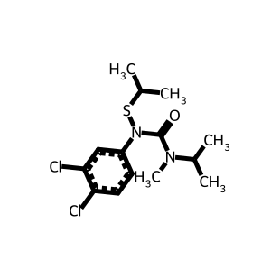 CC(C)SN(C(=O)N(C)C(C)C)c1ccc(Cl)c(Cl)c1